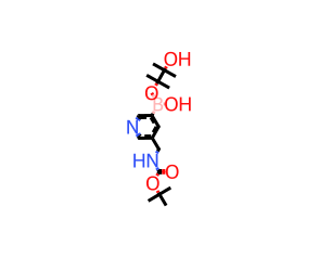 CC(C)(C)OC(=O)NCc1cncc(B(O)OC(C)(C)C(C)(C)O)c1